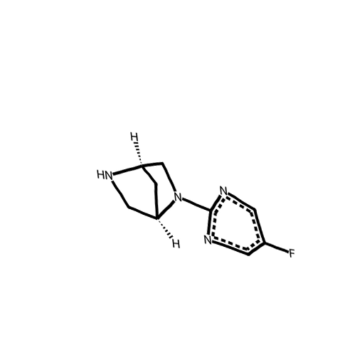 Fc1cnc(N2C[C@H]3C[C@@H]2CN3)nc1